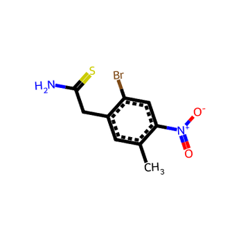 Cc1cc(CC(N)=S)c(Br)cc1[N+](=O)[O-]